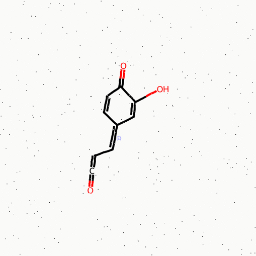 O=C=C/C=C1\C=CC(=O)C(O)=C1